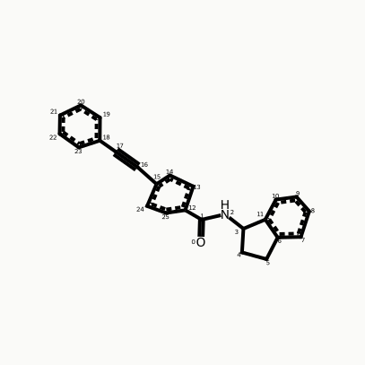 O=C(NC1CCc2ccccc21)c1ccc(C#Cc2ccccc2)cc1